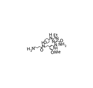 CCc1nc(C(N)=O)c(Nc2cc(CCNC(=O)CCCN)cc(OC)c2)nc1NC1CCOCC1